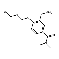 CN(C)C(=O)c1ccc(OCCCBr)c(CN)c1